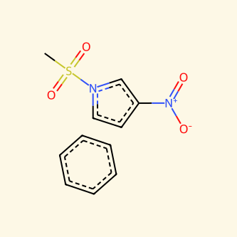 CS(=O)(=O)n1ccc([N+](=O)[O-])c1.c1ccccc1